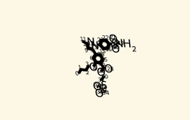 CCCCOc1cc(-c2cc(C)nn2-c2ccc(S(N)(=O)=O)cc2)ccc1C(=O)OCCSS(C)(=O)=O